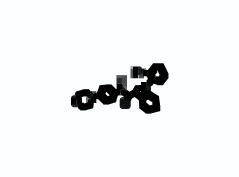 CC(C)c1ccccc1N1CC(C(=O)Nc2ccc(N3CCOCC3)cc2)c2ccccc21